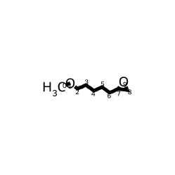 COCCCCCC1CO1